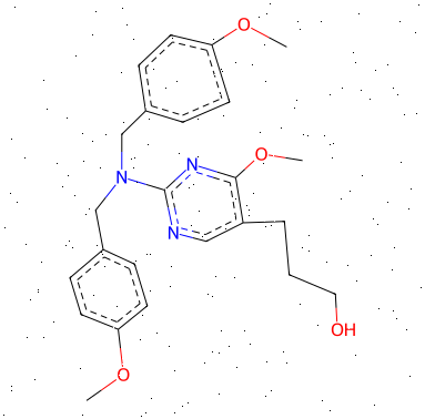 COc1ccc(CN(Cc2ccc(OC)cc2)c2ncc(CCCO)c(OC)n2)cc1